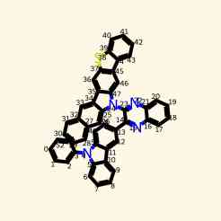 c1ccc(-n2c3ccccc3c3cc(-c4nc5ccccc5nc4-n4c5cc6ccccc6cc5c5cc6sc7ccccc7c6cc54)ccc32)cc1